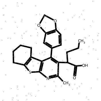 CCCC(C(=O)O)c1c(C)nc2sc3c(c2c1-c1ccc2c(c1)OCO2)CCCC3